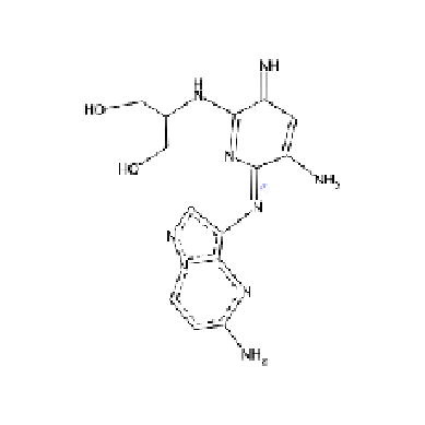 N=C1C=C(N)/C(=N/c2cnn3ccc(N)nc23)N=C1NC(CO)CO